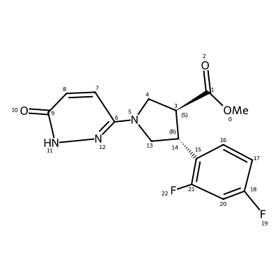 COC(=O)[C@@H]1CN(c2ccc(=O)[nH]n2)C[C@H]1c1ccc(F)cc1F